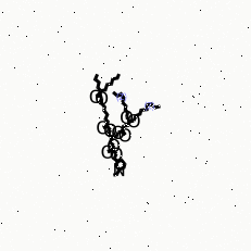 CC/C=C\CCCCOC(CCC(=O)OCC(COC(=O)CCCCCCOC(=O)C(CCCC)CCCCCC)COC(=O)OCC1CCCN(CC)C1)OCCCC/C=C\CC